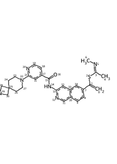 C=C(S/C(C)=N\C)c1ccc2cnc(NC(=O)c3ccnc(N4CCC5(CC4)CNC5)c3)cc2c1